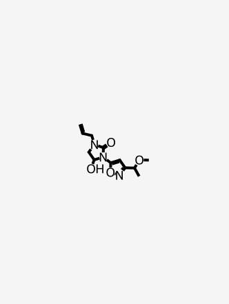 C=CCN1CC(O)N(c2cc(C(C)OC)no2)C1=O